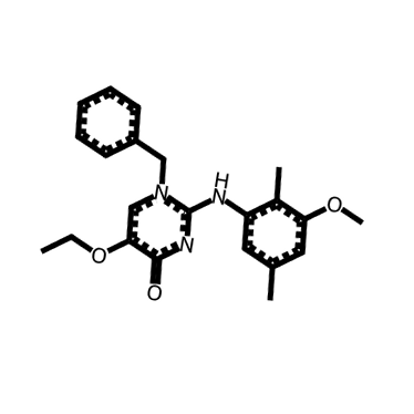 CCOc1cn(Cc2ccccc2)c(Nc2cc(C)cc(OC)c2C)nc1=O